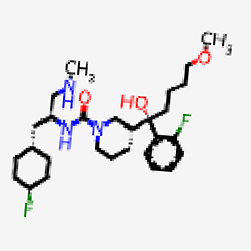 CNC[C@H](C[C@H]1CC[C@H](F)CC1)NC(=O)N1CCC[C@@H]([C@@](O)(CCCCOC)c2ccccc2F)C1